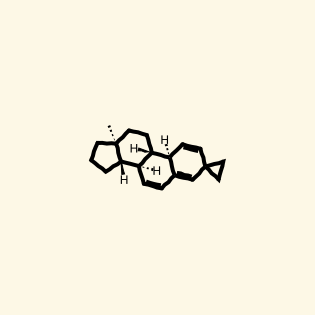 C[C@@]12CCC[C@H]1[C@@H]1C=CC3=CC4(C=C[C@@H]3[C@H]1CC2)CC4